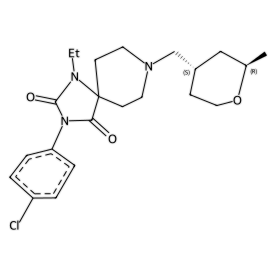 CCN1C(=O)N(c2ccc(Cl)cc2)C(=O)C12CCN(C[C@H]1CCO[C@H](C)C1)CC2